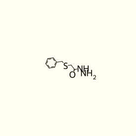 NNC(=O)CSCc1ccccc1